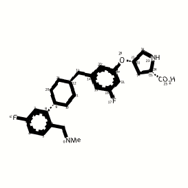 CNCc1ccc(F)cc1[C@H]1CC[C@H](Cc2cc(F)cc(O[C@@H]3CN[C@H](C(=O)O)C3)c2)CC1